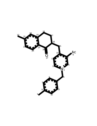 CC(=O)c1c[n+](Cc2ccc(C)cc2)ccc1CC1CCc2cc(C)ccc2C1=O